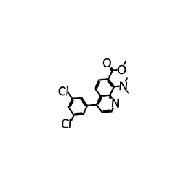 COC(=O)c1ccc2c(-c3cc(Cl)cc(Cl)c3)ccnc2c1N(C)C